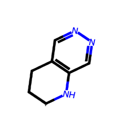 [CH]1CCc2cnncc2N1